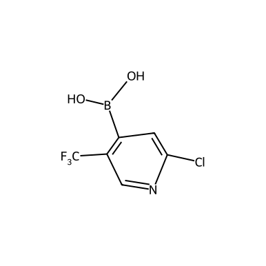 OB(O)c1cc(Cl)ncc1C(F)(F)F